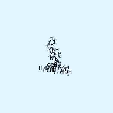 CCC(=CS(=O)(=O)O)[C@@H]1C[C@@H](n2ccc3c(N[C@H]4CCc5ccccc54)ncnc32)C[C@H]1O[Si](C)(C)C(C)(C)C